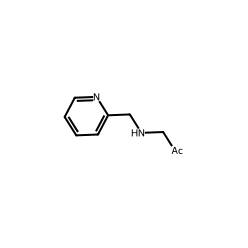 CC(=O)CNCc1ccccn1